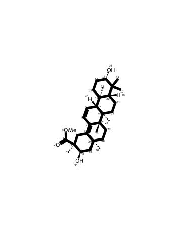 COC(=O)[C@@]1(C)CC2=C3C=C[C@@H]4[C@@]5(C)CC[C@H](O)C(C)(C)[C@@H]5CC[C@@]4(C)[C@]3(C)CC[C@@]2(C)C[C@H]1O